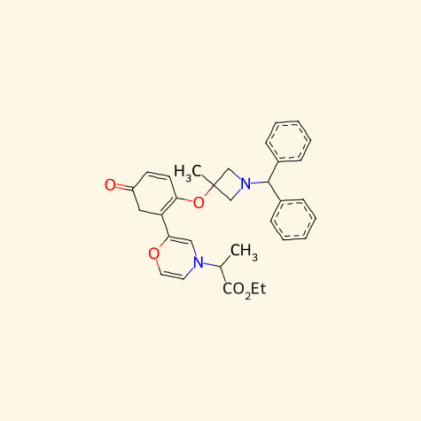 CCOC(=O)C(C)N1C=COC(C2=C(OC3(C)CN(C(c4ccccc4)c4ccccc4)C3)C=CC(=O)C2)=C1